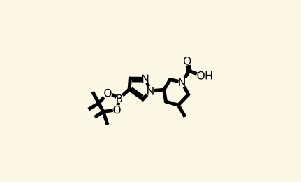 CC1CC(n2cc(B3OC(C)(C)C(C)(C)O3)cn2)CN(C(=O)O)C1